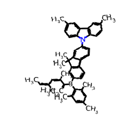 C=C(B(c1ccc2c(c1)C(C)(C)c1cc(-n3c4ccc(C)cc4c4cc(C)ccc43)ccc1-2)c1c(C)cc(C)cc1C)/C(C)=C\C(C)=C/C